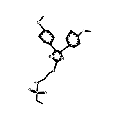 CCS(=O)(=O)NCCSc1nc(-c2ccc(OC)cc2)c(-c2ccc(OC)cc2)[nH]1